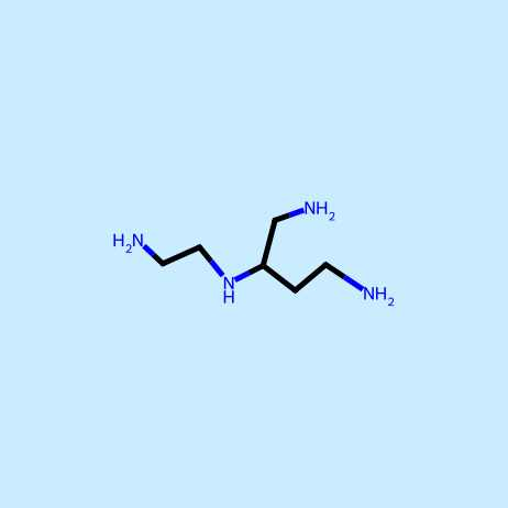 NCCNC(CN)CCN